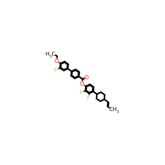 C/C=C/C1CCC(c2ccc(OC(=O)c3ccc(-c4ccc(OCC)c(F)c4)cc3)c(F)c2F)CC1